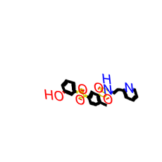 Cc1ccc(S(=O)(=O)c2cccc(O)c2)cc1S(=O)(=O)NCCc1ccccn1